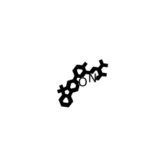 Cc1cnc(-c2c(C)ccc3c2oc2cc4c(cc23)C(C)(C)c2ccccc2-4)cc1C(C)C